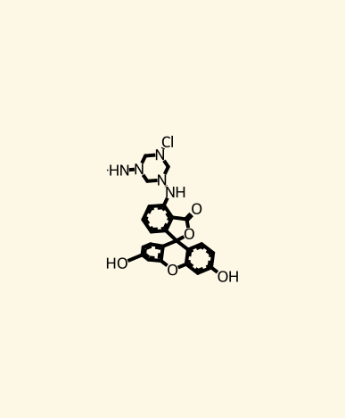 [NH]N1CN(Cl)CN(Nc2cccc3c2C(=O)OC32c3ccc(O)cc3Oc3cc(O)ccc32)C1